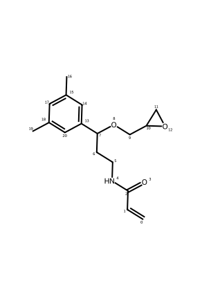 C=CC(=O)NCCC(OCC1CO1)c1cc(C)cc(C)c1